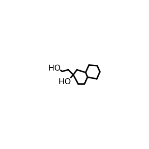 OCCC1(O)CCC2CCCCC2C1